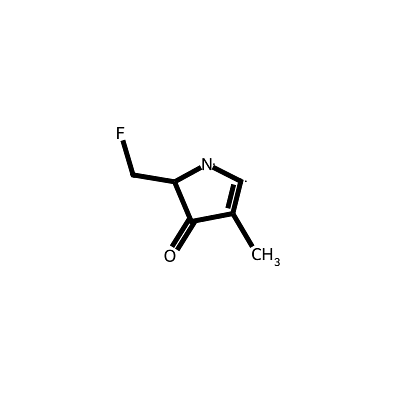 CC1=[C][N]C(CF)C1=O